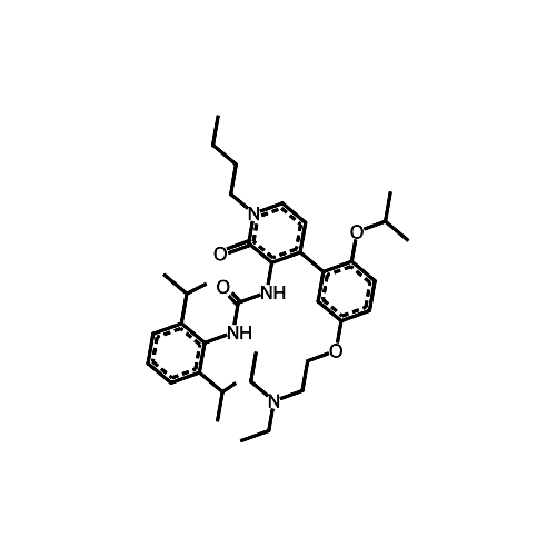 CCCCn1ccc(-c2cc(OCCN(CC)CC)ccc2OC(C)C)c(NC(=O)Nc2c(C(C)C)cccc2C(C)C)c1=O